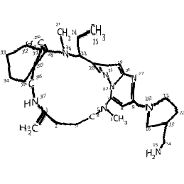 C=C1CCCN(C)c2cc(N3CCC(CN)C3)nc3cc(nn23)C(CC)N(C)C(=C)C2(CCCCC2)CN1